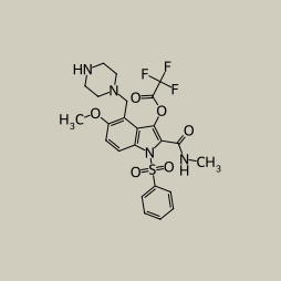 CNC(=O)c1c(OC(=O)C(F)(F)F)c2c(CN3CCNCC3)c(OC)ccc2n1S(=O)(=O)c1ccccc1